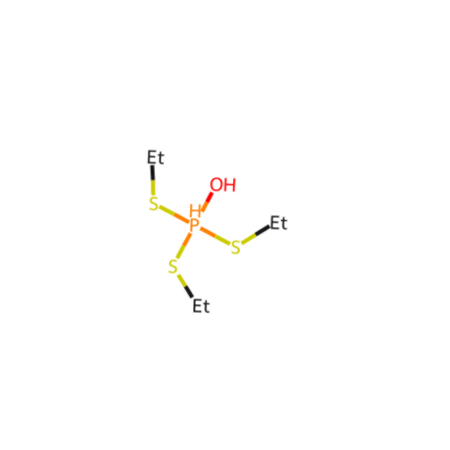 CCS[PH](O)(SCC)SCC